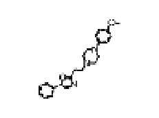 COc1ccc(N2CCN(CCc3ncc(-c4ccccc4)o3)CC2)cc1